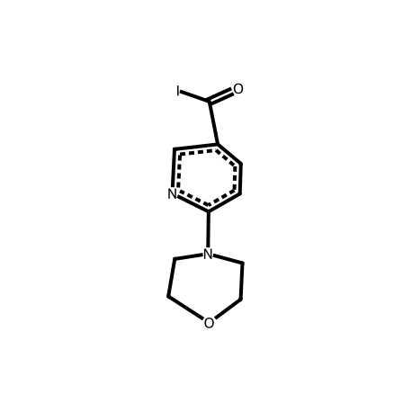 O=C(I)c1ccc(N2CCOCC2)nc1